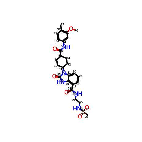 COc1cc(NC(=O)C2CCC(n3c(=O)[nH]c4c(C(=O)NCCNS(C)(=O)=O)cccc43)CC2)ccc1C